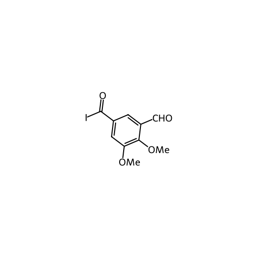 COc1cc(C(=O)I)cc(C=O)c1OC